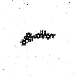 CN(C)Cc1cccc(NC(=O)Nc2ccc(CCNc3ncnc4oc(-c5ccccc5)c(Cl)c34)cc2)c1